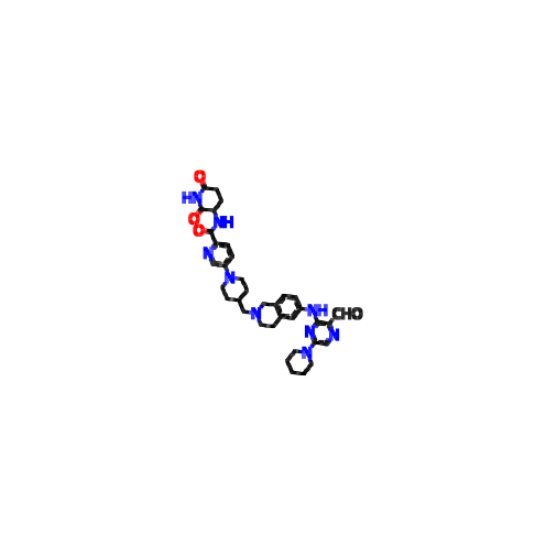 O=Cc1ncc(N2CCCCC2)nc1Nc1ccc2c(c1)CCN(CC1CCN(c3ccc(C(=O)NC4CCC(=O)NC4=O)nc3)CC1)C2